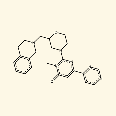 Cn1c(N2CCOC(CN3CCc4ccccc4C3)C2)nc(-c2ccncn2)cc1=O